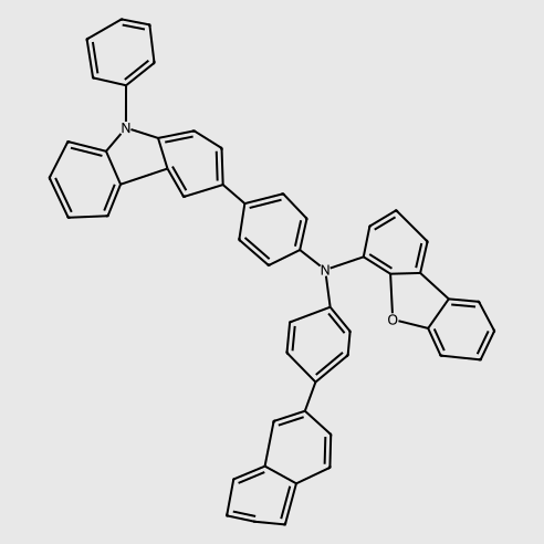 c1ccc(-n2c3ccccc3c3cc(-c4ccc(N(c5ccc(-c6ccc7ccccc7c6)cc5)c5cccc6c5oc5ccccc56)cc4)ccc32)cc1